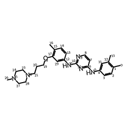 Cc1ccc(Nc2ccnc(Nc3ccc(C)c(OCCCN4CCN(C)CC4)c3)n2)cc1C